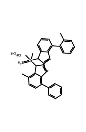 CC1=Cc2c(-c3ccccc3)ccc(C)c2[CH]1[Zr]([CH3])([CH3])(=[SiH2])[CH]1C(C(C)C)=Cc2c(-c3ccccc3C)cccc21.Cl.Cl